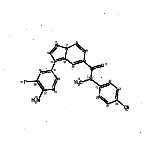 CN(C(=O)c1ccn2ncc(-c3cnc(N)c(F)c3)c2c1)c1ccc(C#N)cc1